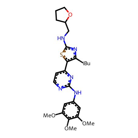 CCC(C)c1nc(NCC2CCCO2)sc1-c1ccnc(Nc2cc(OC)c(OC)c(OC)c2)n1